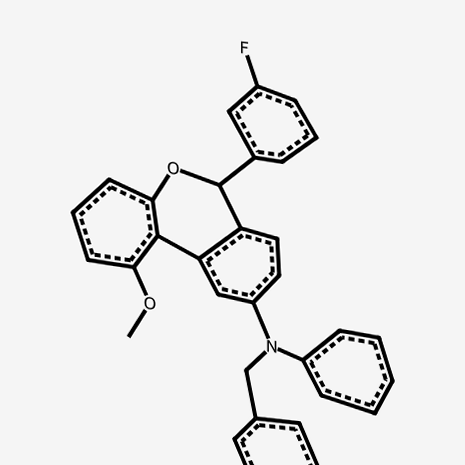 COc1cccc2c1-c1cc(N(Cc3ccccc3)c3ccccc3)ccc1C(c1cccc(F)c1)O2